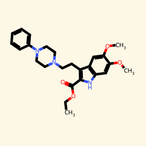 CCOC(=O)c1[nH]c2cc(OC)c(OC)cc2c1CCN1CCN(c2ccccc2)CC1